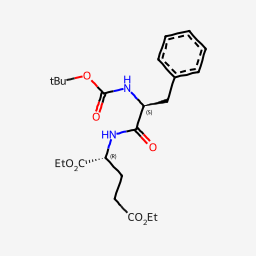 CCOC(=O)CC[C@@H](NC(=O)[C@H](Cc1ccccc1)NC(=O)OC(C)(C)C)C(=O)OCC